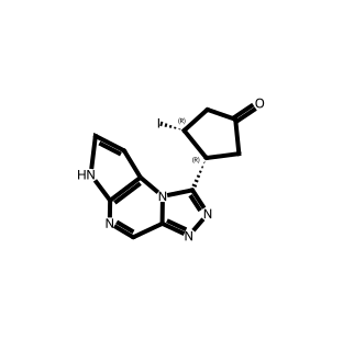 O=C1C[C@@H](I)[C@@H](c2nnc3cnc4[nH]ccc4n23)C1